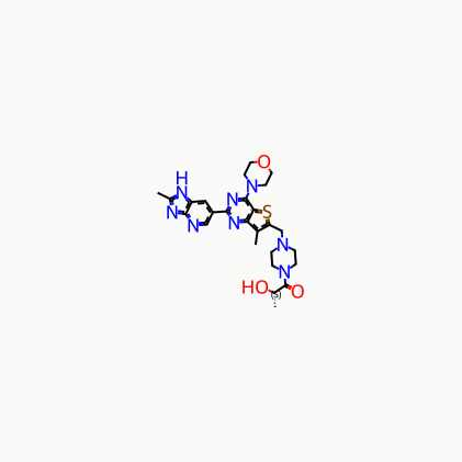 Cc1nc2ncc(-c3nc(N4CCOCC4)c4sc(CN5CCN(C(=O)[C@H](C)O)CC5)c(C)c4n3)cc2[nH]1